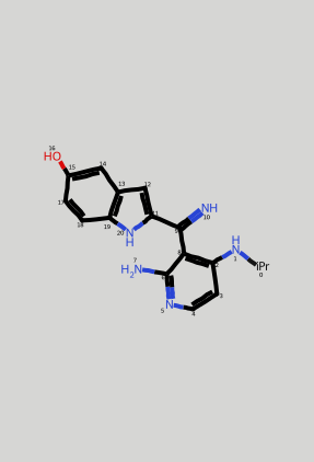 CC(C)Nc1ccnc(N)c1C(=N)c1cc2cc(O)ccc2[nH]1